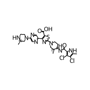 Cc1[nH]c(C(=O)N[C@@H]2CCN(c3nc(-c4cnc(N5CCN[C@H](C)C5)cn4)c(C(=O)O)s3)C[C@@H]2C)c(Cl)c1Cl